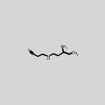 CCC(N)CCNCCC#N